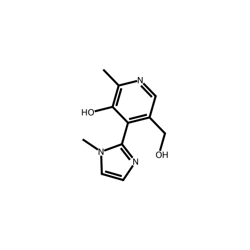 Cc1ncc(CO)c(-c2nccn2C)c1O